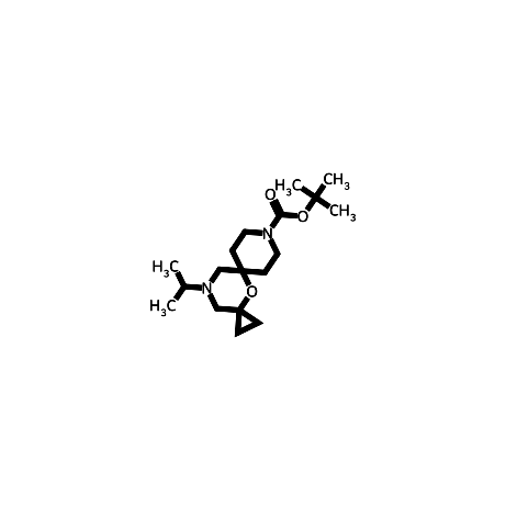 CC(C)N1CC2(CCN(C(=O)OC(C)(C)C)CC2)OC2(CC2)C1